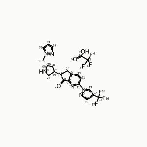 O=C(O)C(F)(F)F.O=C1c2nc(-n3cc(C(F)(F)F)cn3)ccc2CN1[C@H]1CN[C@H](Cn2cccn2)C1